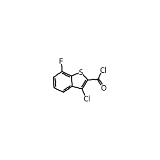 O=C(Cl)c1sc2c(F)cccc2c1Cl